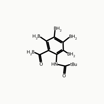 BC(=O)c1c(B)c(B)c(B)c(B)c1NC(=O)C(C)(C)C